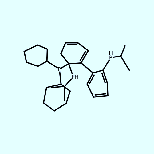 CC(C)Pc1ccccc1C1=CC=CCC1(PC(C)C)P(C1CCCCC1)C1CCCCC1